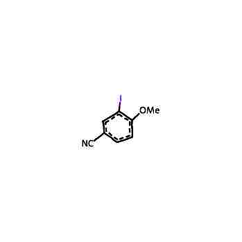 COc1ccc(C#N)cc1I